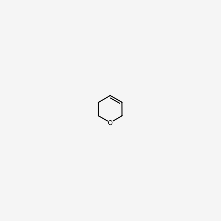 C1=CCOCC1